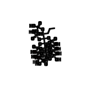 CCCC(C)(OP(=O)(O)O)C(OP(=O)(O)O)(OP(=O)(O)O)C(OP(=O)(O)O)(OP(=O)(O)O)C(OP(=O)(O)O)(OP(=O)(O)O)C(OP(=O)(O)O)(OP(=O)(O)O)OP(=O)(O)O